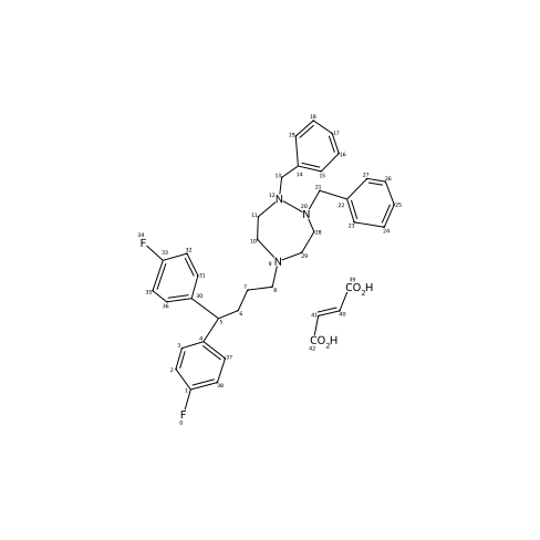 Fc1ccc(C(CCCN2CCN(Cc3ccccc3)N(Cc3ccccc3)CC2)c2ccc(F)cc2)cc1.O=C(O)/C=C/C(=O)O